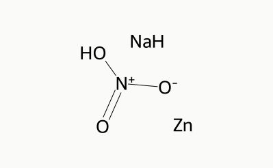 O=[N+]([O-])O.[NaH].[Zn]